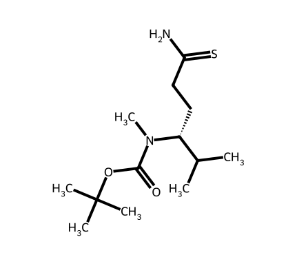 CC(C)[C@@H](CCC(N)=S)N(C)C(=O)OC(C)(C)C